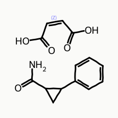 NC(=O)C1CC1c1ccccc1.O=C(O)/C=C\C(=O)O